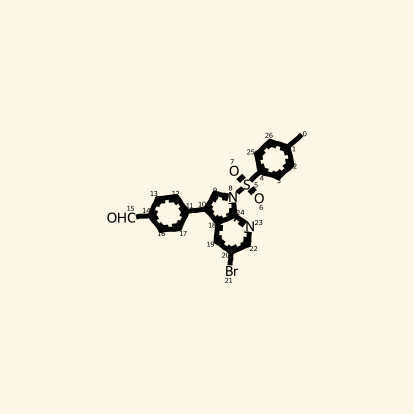 Cc1ccc(S(=O)(=O)n2cc(-c3ccc(C=O)cc3)c3cc(Br)cnc32)cc1